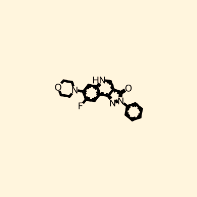 O=c1c2c[nH]c3cc(N4CCOCC4)c(F)cc3c-2nn1-c1ccccc1